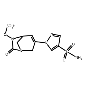 NS(=O)(=O)c1cnn(C2=CC3CN(C2)C(=O)N3OS(=O)(=O)O)c1